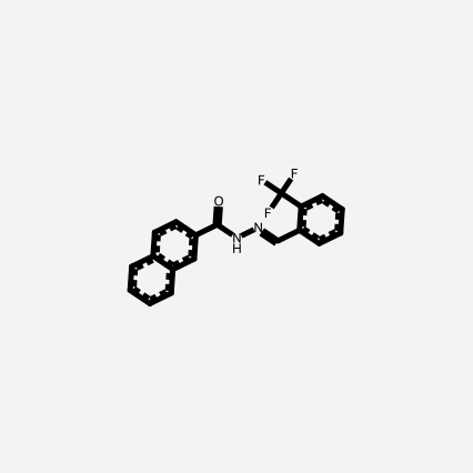 O=C(NN=Cc1ccccc1C(F)(F)F)c1ccc2ccccc2c1